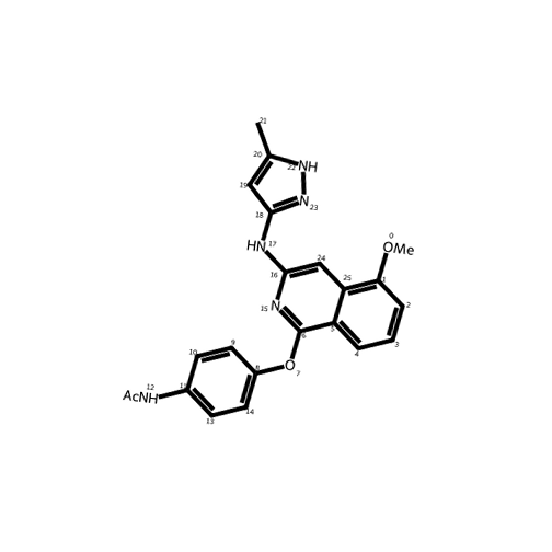 COc1cccc2c(Oc3ccc(NC(C)=O)cc3)nc(Nc3cc(C)[nH]n3)cc12